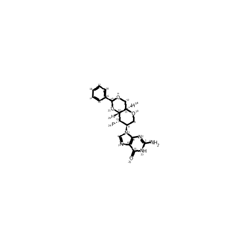 Nc1nc2c(ncn2[C@@H]2CO[C@@H]3COC(c4ccccc4)O[C@H]3[C@H]2F)c(=O)[nH]1